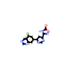 O=c1[nH]c(-c2cc(-c3cc(Cl)c4cncnc4c3)ncn2)no1